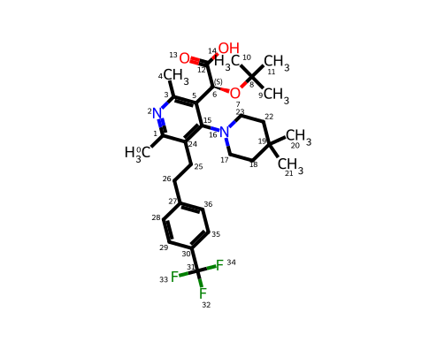 Cc1nc(C)c([C@H](OC(C)(C)C)C(=O)O)c(N2CCC(C)(C)CC2)c1CCc1ccc(C(F)(F)F)cc1